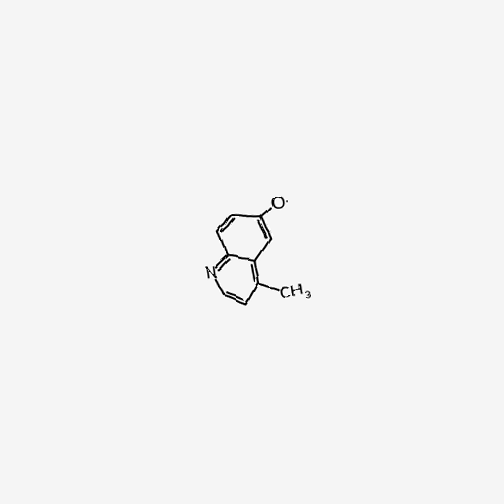 Cc1ccnc2ccc([O])cc12